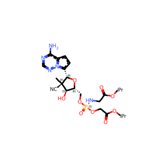 CC(C)OC(=O)CN[P@@](=O)(OCC(=O)OC(C)C)OC[C@H]1O[C@@H](c2ccc3c(N)ncnn23)[C@](C)(C#N)[C@@H]1O